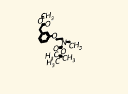 CCN(CCOc1cccc(CC(=O)OC)c1)C(=O)OC(C)(C)C